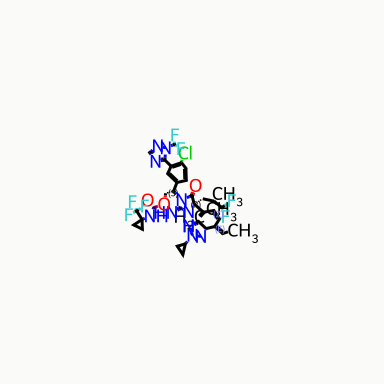 C=C(/C=C\C(=C/C)c1cnn(C2CC2)n1)[C@@]1(CC(C)(C)C(F)F)NC(=N)N([C@H](COC(=O)NC2(C(F)(F)F)CC2)c2ccc(Cl)c(-c3ncnn3C(F)F)c2)C1=O